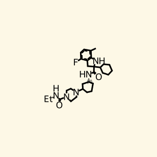 CCNC(=O)N1CCN(C2CCC[C@@H](NC(=O)C3(C4CCCCC4)Cc4c(F)ccc(C)c4N3)C2)CC1